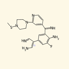 CSN1CCN(c2cc(C(=N)c3cc(/C(C=N)=C/N)cc(F)c3N)ccn2)CC1